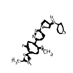 COc1cc(-c2cnc(C)s2)c(F)cc1-c1ccc(N2CCC(NC3CCOCC3)C2)nn1